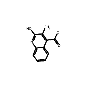 Cc1c(O)nc2ccccc2c1C(=O)Cl